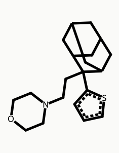 c1csc(C2(CCN3CCOCC3)C3CC4CC(C3)CC2C4)c1